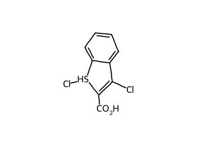 O=C(O)C1=C(Cl)c2ccccc2[SH]1Cl